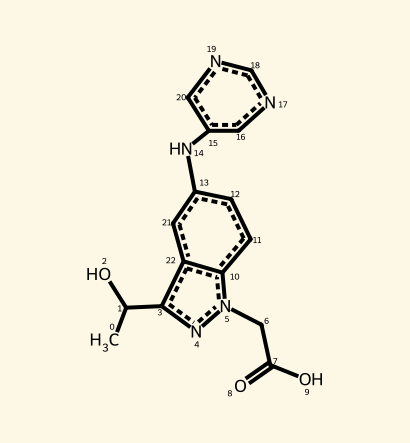 CC(O)c1nn(CC(=O)O)c2ccc(Nc3cncnc3)cc12